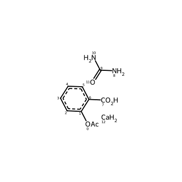 CC(=O)Oc1ccccc1C(=O)O.NC(N)=O.[CaH2]